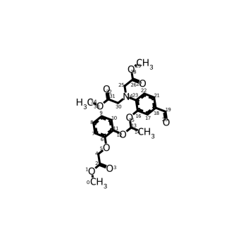 COC(=O)COc1ccccc1OC(C)Oc1cc(C=O)ccc1N(CC(=O)OC)CC(=O)OC